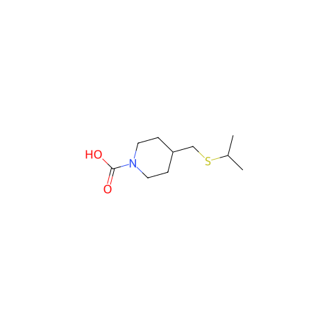 CC(C)SCC1CCN(C(=O)O)CC1